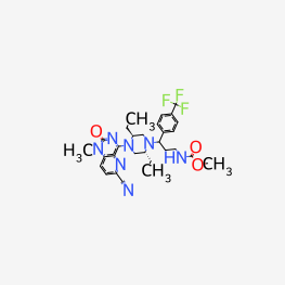 CC[C@H]1CN(C(CCNC(=O)OC)c2ccc(C(F)(F)F)cc2)[C@H](CC)CN1c1nc(=O)n(C)c2ccc(C#N)nc12